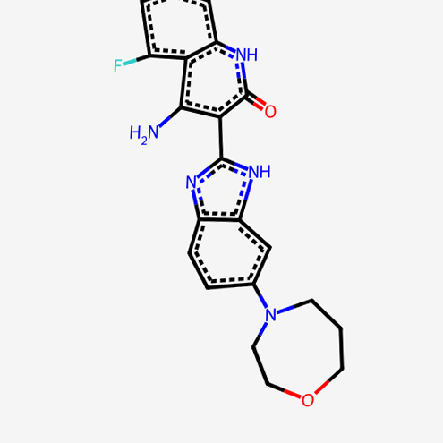 Nc1c(-c2nc3ccc(N4CCCOCC4)cc3[nH]2)c(=O)[nH]c2cccc(F)c12